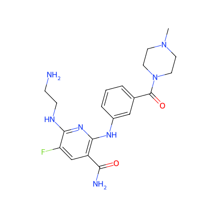 CN1CCN(C(=O)c2cccc(Nc3nc(NCCN)c(F)cc3C(N)=O)c2)CC1